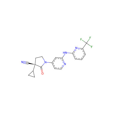 N#C[C@@]1(C2CC2)CCN(c2ccnc(Nc3cccc(C(F)(F)F)n3)c2)C1=O